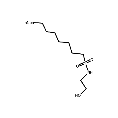 CCCCCCCCCCCCCCCCS(=O)(=O)NCCO